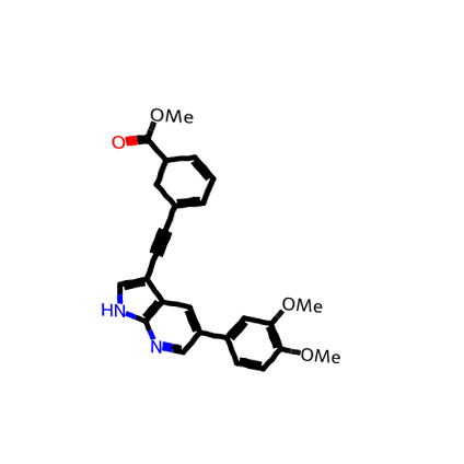 COC(=O)C1C=CC=C(C#Cc2c[nH]c3ncc(-c4ccc(OC)c(OC)c4)cc23)C1